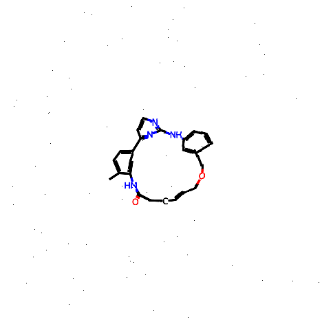 Cc1ccc2cc1NC(=O)CC/C=C/COCc1cccc(c1)Nc1nccc-2n1